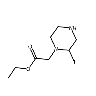 CCOC(=O)CN1CCNCC1I